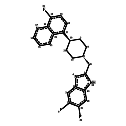 Fc1cc2nc(C[C@H]3CC[C@H](c4ccc(F)c5ncccc54)CC3)[nH]c2cc1F